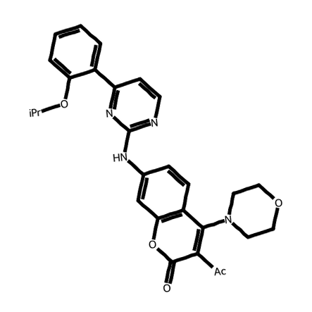 CC(=O)c1c(N2CCOCC2)c2ccc(Nc3nccc(-c4ccccc4OC(C)C)n3)cc2oc1=O